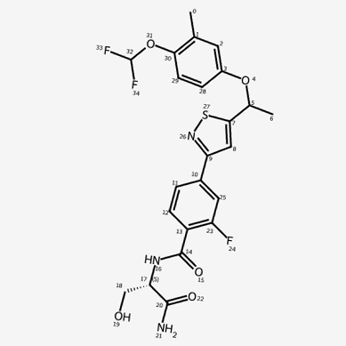 Cc1cc(OC(C)c2cc(-c3ccc(C(=O)N[C@@H](CO)C(N)=O)c(F)c3)ns2)ccc1OC(F)F